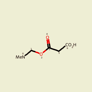 CNCOC(=O)CC(=O)O